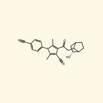 Cc1c(C#N)c(C(=O)CN2C3CCC2[C@H](O)C3)c(C)n1-c1ccc(C#N)cc1